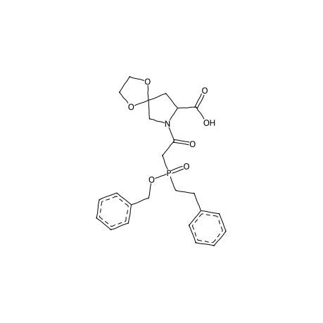 O=C(O)C1CC2(CN1C(=O)CP(=O)(CCc1ccccc1)OCc1ccccc1)OCCO2